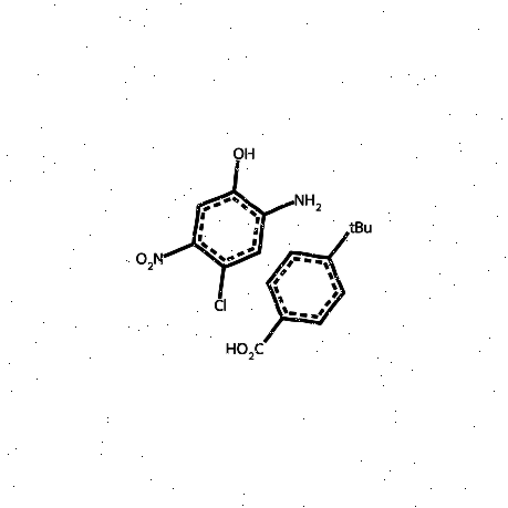 CC(C)(C)c1ccc(C(=O)O)cc1.Nc1cc(Cl)c([N+](=O)[O-])cc1O